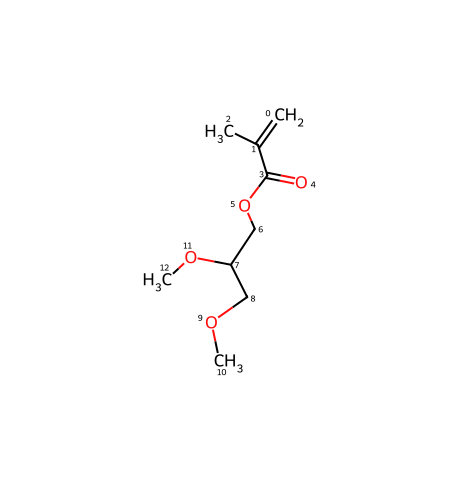 C=C(C)C(=O)OCC(COC)OC